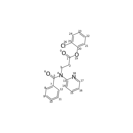 O=C(CCN(C(=O)C1=CC=C=C=C1)c1ccccn1)Oc1ccccc1Cl